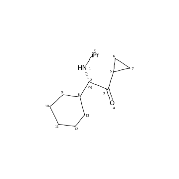 CC(C)N[C@H](C(=O)C1CC1)C1CCCCC1